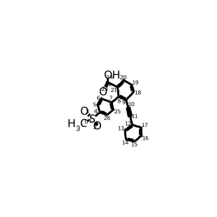 CS(=O)(=O)c1ccc(-c2c(C#Cc3ccccc3)cccc2C(=O)O)cc1